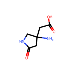 NC1(CC(=O)O)CNC(=O)C1